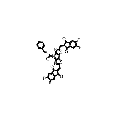 O=C1C(=Cc2nc3c(s2)c2sc(C=C4C(=O)c5cc(F)c(F)cc5C4=O)nc2n3C(=O)OCc2ccccc2)C(=O)c2cc(F)c(F)cc21